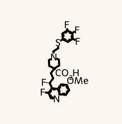 COc1ccc2ncc(F)c([C@H](F)CCC3(C(=O)O)CCN(CCSc4cc(F)c(F)c(F)c4)CC3)c2c1